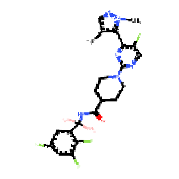 BC(B)(NC(=O)C1CCN(c2ncc(F)c(-c3c(C)cnn3C)n2)CC1)c1cc(F)cc(F)c1F